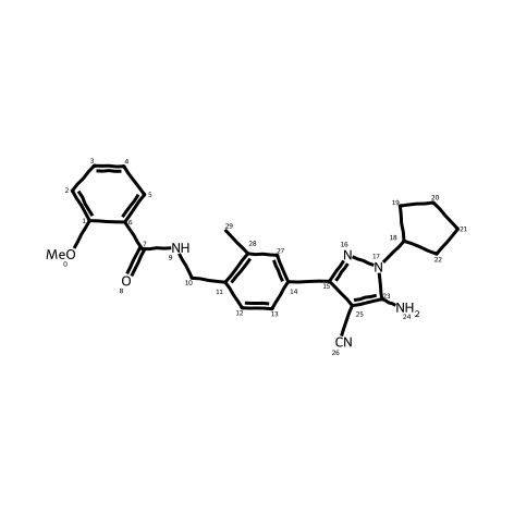 COc1ccccc1C(=O)NCc1ccc(-c2nn(C3CCCC3)c(N)c2C#N)cc1C